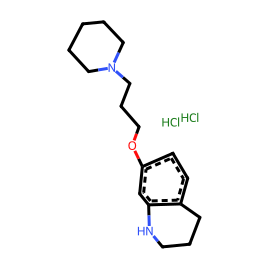 Cl.Cl.c1cc2c(cc1OCCCN1CCCCC1)NCCC2